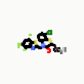 O=C(O)CC1Sc2c(Cl)cccc2N(Cc2nc3c(F)c(F)cc(F)c3s2)C1=O